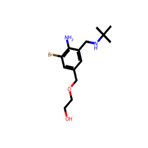 CC(C)(C)NCc1cc(COCCO)cc(Br)c1N